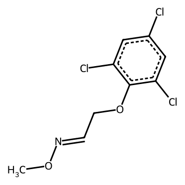 CO/N=C/COc1c(Cl)cc(Cl)cc1Cl